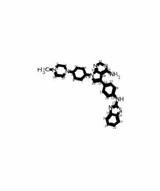 CN1CCN(C2CCC(n3cc(-c4ccc(Nc5nc6ccccc6s5)cc4)c4c(N)ncnc43)CC2)CC1